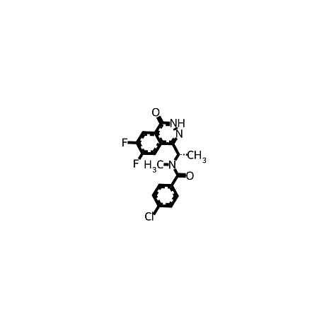 C[C@@H](c1n[nH]c(=O)c2cc(F)c(F)cc12)N(C)C(=O)c1ccc(Cl)cc1